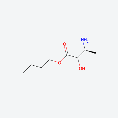 CCCCOC(=O)C(O)[C@H](C)N